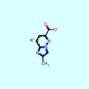 Cc1cn2nc(C(=O)[O-])ccc2n1.[K+]